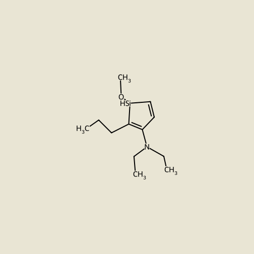 CCCC1=C(N(CC)CC)C=C[SiH]1OC